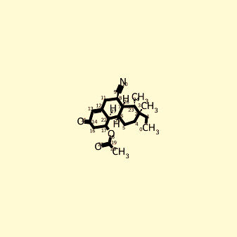 CC[C@@]1(C)CC[C@H]2[C@@H]([C@H](C#N)CC3=CC(=O)CC(OC(C)=O)[C@@H]32)[C@@H]1C